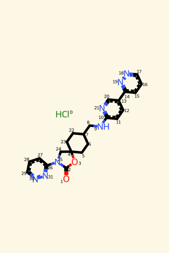 Cl.O=C1OC2(CCC(CNc3ccc(-c4cccnn4)cn3)CC2)CN1c1cccnn1